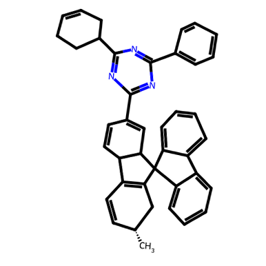 C[C@@H]1C=CC2=C(C1)C1(c3ccccc3-c3ccccc31)C1C=C(c3nc(-c4ccccc4)nc(C4CC=CCC4)n3)C=CC21